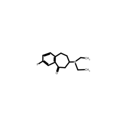 CCN(CC)C1CCc2ccc(F)cc2C(=O)C1